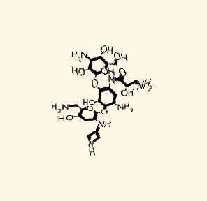 NC[C@H](O)C(=O)N[C@@H]1C[C@H](N)C(O[C@H]2O[C@H](CN)[C@@H](O)C[C@H]2NC2CNC2)[C@H](O)[C@H]1O[C@H]1O[C@H](CO)[C@@H](O)[C@H](N)[C@H]1O